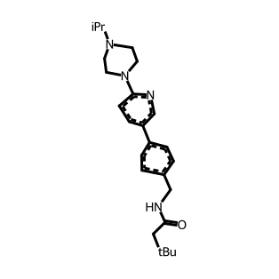 CC(C)N1CCN(c2ccc(-c3ccc(CNC(=O)CC(C)(C)C)cc3)cn2)CC1